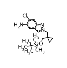 CC(C)(C)[Si](C)(C)OCC1(Cn2cc3cc(N)c(Cl)cc3n2)CC1